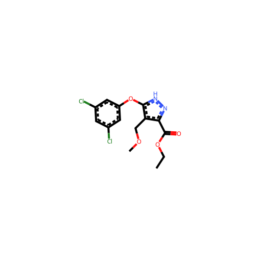 CCOC(=O)c1n[nH]c(Oc2cc(Cl)cc(Cl)c2)c1COC